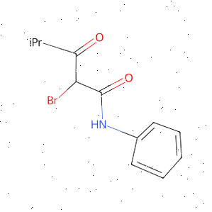 CC(C)C(=O)C(Br)C(=O)Nc1ccccc1